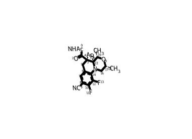 CC(=O)NC(=O)[C@]1(C(C)=O)Cc2cc(C#N)c(F)c(F)c2N2C[C@@H](C)O[C@@H](C)[C@@H]21